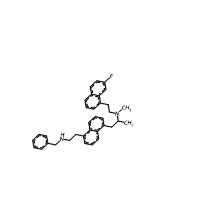 CC(Cc1cccc2c(CCNCc3ccccc3)cccc12)N(C)CCc1cccc2ccc(F)cc12